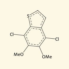 COc1c(OC)c(Cl)c2sccc2c1Cl